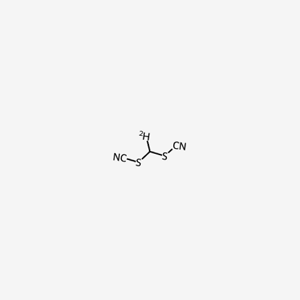 [2H]C(SC#N)SC#N